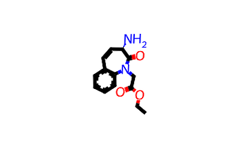 CCOC(=O)CN1C(=O)[C@@H](N)C=Cc2ccccc21